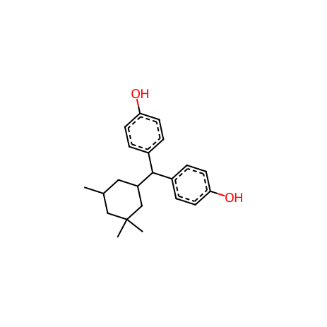 CC1CC(C(c2ccc(O)cc2)c2ccc(O)cc2)CC(C)(C)C1